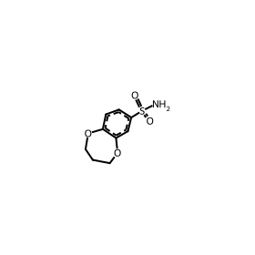 NS(=O)(=O)c1ccc2c(c1)OCCCO2